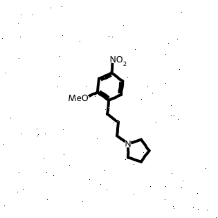 COc1cc([N+](=O)[O-])ccc1CCCN1CCCC1